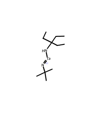 CCC(CC)(CC)[NH]/[Ta]=[N]/C(C)(C)C